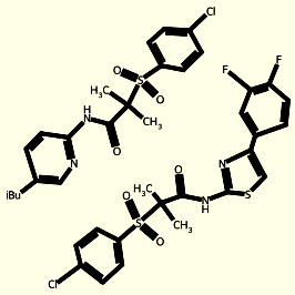 CC(C)(C(=O)Nc1nc(-c2ccc(F)c(F)c2)cs1)S(=O)(=O)c1ccc(Cl)cc1.CCC(C)c1ccc(NC(=O)C(C)(C)S(=O)(=O)c2ccc(Cl)cc2)nc1